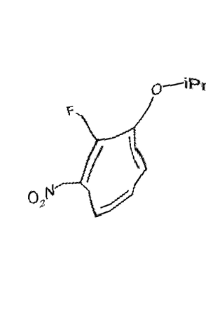 CC(C)Oc1cccc([N+](=O)[O-])c1F